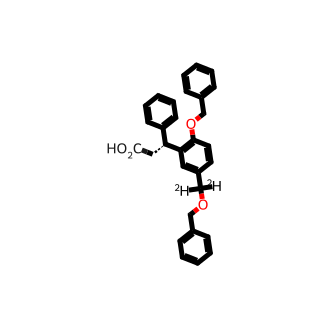 [2H]C([2H])(OCc1ccccc1)c1ccc(OCc2ccccc2)c([C@H](CC(=O)O)c2ccccc2)c1